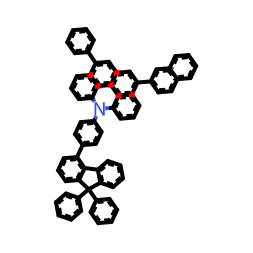 c1ccc(-c2ccc(-c3ccccc3N(c3ccc(-c4cccc5c4-c4ccccc4C5(c4ccccc4)c4ccccc4)cc3)c3ccccc3-c3ccc(-c4ccc5ccccc5c4)cc3)cc2)cc1